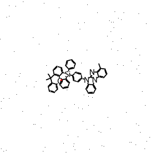 Cc1cccc2c1nc1n(-c3ccc([Si](c4ccccc4)(c4ccccc4)c4cccc5c4Oc4ccccc4C5(C)C)cc3)c3ccccc3n21